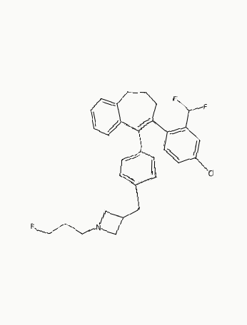 FCCCN1CC(Cc2ccc(C3=C(c4ccc(Cl)cc4C(F)F)CCCc4ccccc43)cc2)C1